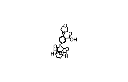 O=C(O)c1cc(N2C(=O)[C@@H]3[C@H](C2=O)[C@@H]2C=C[C@H]3CC2)ccc1N1CCOCC1